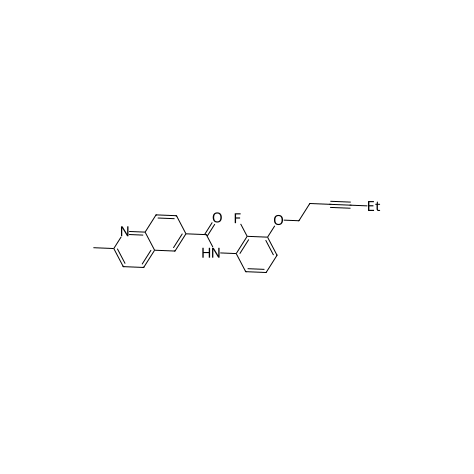 CCC#CCCOc1cccc(NC(=O)c2ccc3nc(C)ccc3c2)c1F